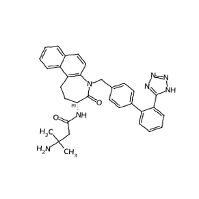 CC(C)(N)CC(=O)N[C@@H]1CCc2c(ccc3ccccc23)N(Cc2ccc(-c3ccccc3-c3nnn[nH]3)cc2)C1=O